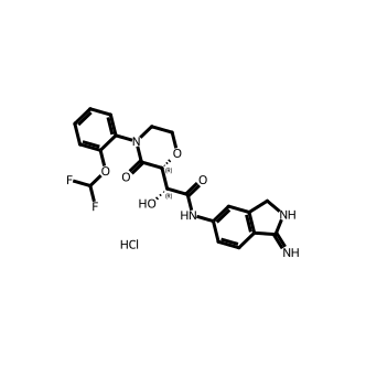 Cl.N=C1NCc2cc(NC(=O)[C@H](O)[C@H]3OCCN(c4ccccc4OC(F)F)C3=O)ccc21